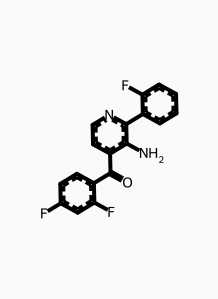 Nc1c(C(=O)c2ccc(F)cc2F)ccnc1-c1ccccc1F